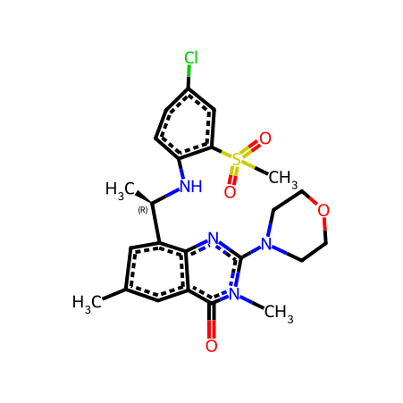 Cc1cc([C@@H](C)Nc2ccc(Cl)cc2S(C)(=O)=O)c2nc(N3CCOCC3)n(C)c(=O)c2c1